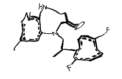 Cc1cnc2c(c1)N(C(C)c1cc(F)ccc1F)C(=O)CN2